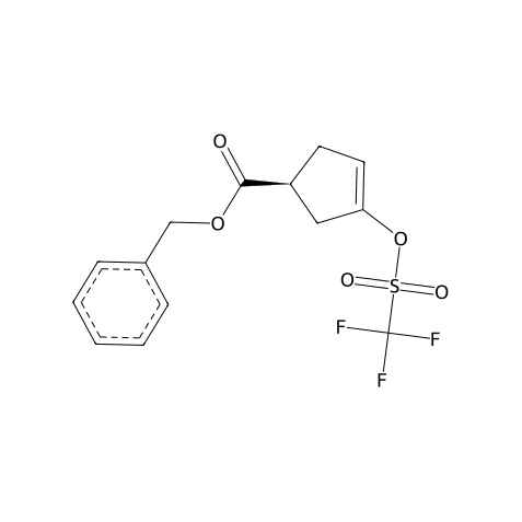 O=C(OCc1ccccc1)[C@H]1CC=C(OS(=O)(=O)C(F)(F)F)C1